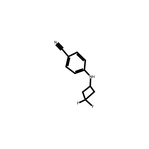 N#Cc1ccc(NC2CC(F)(F)C2)cc1